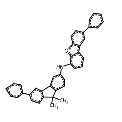 CC1(C)c2ccc(Nc3cccc4c3oc3ccc(-c5ccccc5)cc34)cc2-c2cc(-c3ccccc3)ccc21